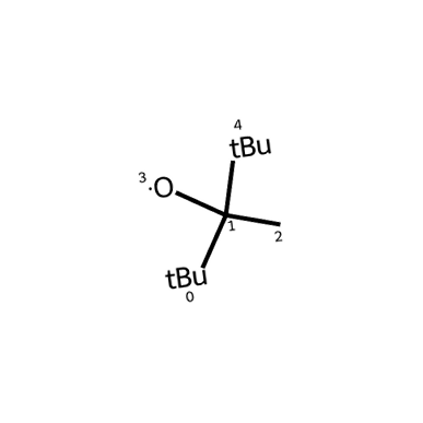 CC(C)(C)C(C)([O])C(C)(C)C